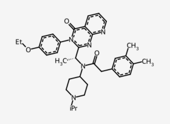 CCOc1ccc(-n2c([C@@H](C)N(C(=O)Cc3ccc(C)c(C)c3)C3CCN(C(C)C)CC3)nc3ncccc3c2=O)cc1